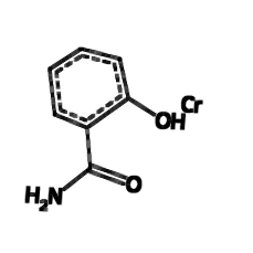 NC(=O)c1ccccc1O.[Cr]